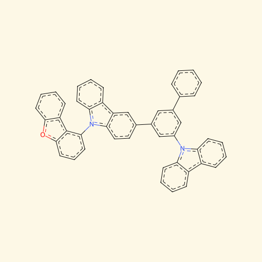 c1ccc(-c2cc(-c3ccc4c(c3)c3ccccc3n4-c3cccc4oc5ccccc5c34)cc(-n3c4ccccc4c4ccccc43)c2)cc1